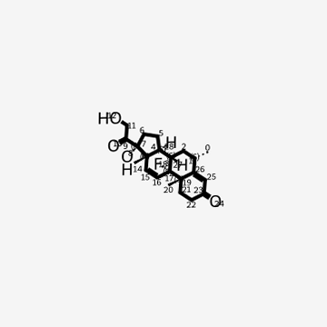 C[C@H]1C[C@H]2[C@@H]3CC[C@](O)(C(=O)CO)[C@@]3(C)C=C[C@]2(F)[C@@]2(C)CCC(=O)C=C12